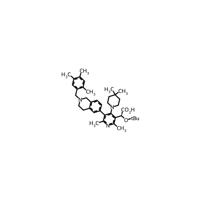 Cc1cc(C)c(CN2CCc3cc(-c4c(C)nc(C)c([C@H](OC(C)(C)C)C(=O)O)c4N4CCC(C)(C)CC4)ccc3C2)cc1C